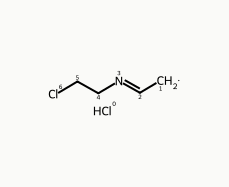 Cl.[CH2]C=NCCCl